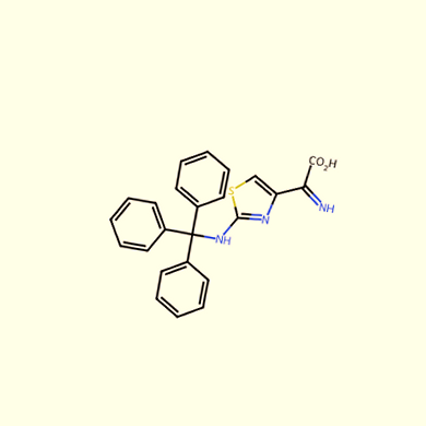 N=C(C(=O)O)c1csc(NC(c2ccccc2)(c2ccccc2)c2ccccc2)n1